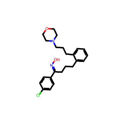 ON=C(CCCc1ccccc1CCCN1CCOCC1)c1ccc(Cl)cc1